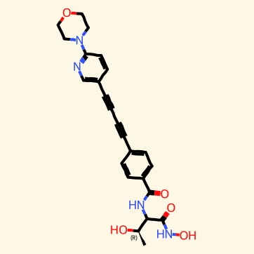 C[C@@H](O)C(NC(=O)c1ccc(C#CC#Cc2ccc(N3CCOCC3)nc2)cc1)C(=O)NO